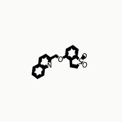 O=S1(=O)C=Cc2c(OCc3ccc4ccccc4n3)cccc21